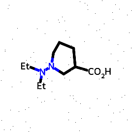 CCN(CC)N1CCCC(C(=O)O)C1